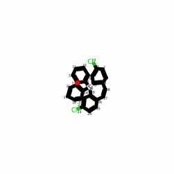 Clc1ccc2c(c1)[Si](c1ccccc1)(c1ccccc1)c1cc(Cl)ccc1C=C2